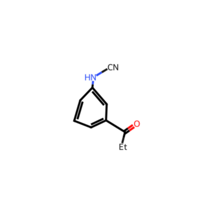 CCC(=O)c1cccc(NC#N)c1